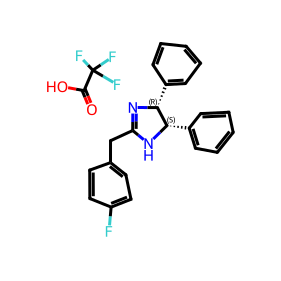 Fc1ccc(CC2=N[C@H](c3ccccc3)[C@H](c3ccccc3)N2)cc1.O=C(O)C(F)(F)F